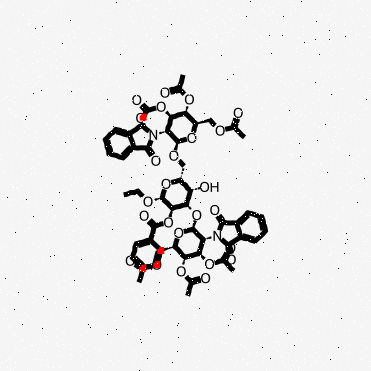 CCO[C@@H]1O[C@H](CO[C@@H]2O[C@H](COC(C)=O)[C@@H](OC(C)=O)[C@H](OC(C)=O)[C@H]2N2C(=O)c3ccccc3C2=O)[C@H](O)[C@H](O[C@@H]2O[C@H](COC(C)=O)[C@@H](OC(C)=O)[C@H](OC(C)=O)[C@H]2N2C(=O)c3ccccc3C2=O)[C@H]1OC(=O)c1ccccc1